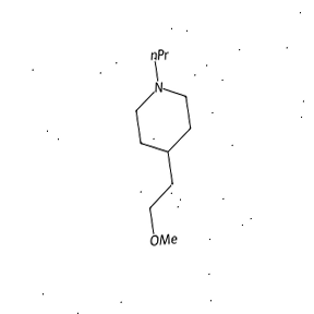 CCCN1CCC(CCOC)CC1